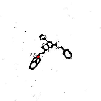 C=CC1C2CCC1CC(CCC1=Nc3cc(C(=O)NCc4ccccc4)cc(-c4nccs4)c3OC1)C2